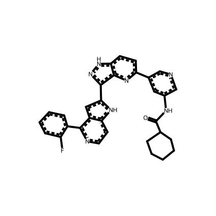 O=C(Nc1cncc(-c2ccc3[nH]nc(-c4cc5c(-c6ccccc6F)nccc5[nH]4)c3n2)c1)C1CCCCC1